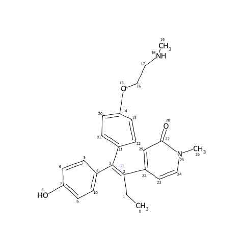 CC/C(=C(\c1ccc(O)cc1)c1ccc(OCCNC)cc1)c1ccn(C)c(=O)c1